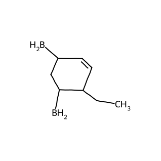 BC1C=CC(CC)C(B)C1